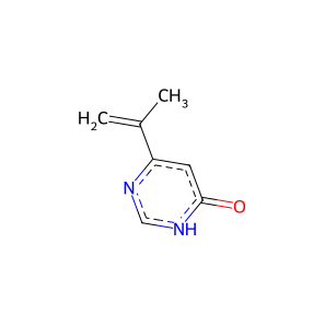 C=C(C)c1cc(=O)[nH]cn1